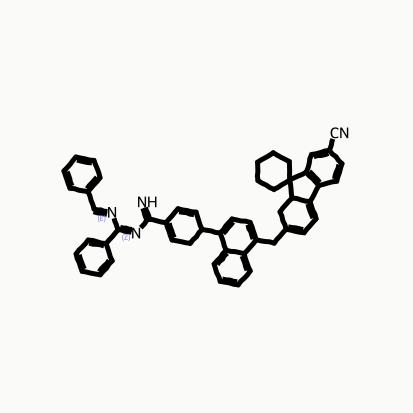 N#Cc1ccc2c(c1)C1(CCCCC1)C1CC(Cc3ccc(C4C=CC(C(=N)/N=C(\N=C\c5ccccc5)c5ccccc5)=CC4)c4ccccc34)=CC=C21